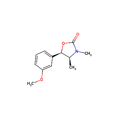 COc1cccc([C@H]2OC(=O)N(C)[C@H]2C)c1